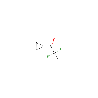 CC(F)(F)C(O)C1CC1